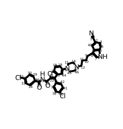 N#Cc1ccc2[nH]cc(CCCCN3CCN(c4ccc5oc(C(=O)NC(=O)c6ccc(Cl)cc6)c(-c6ccc(Cl)cc6)c5c4)CC3)c2c1